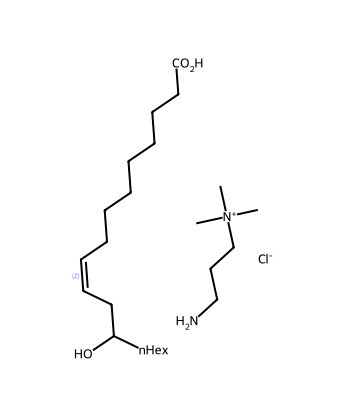 CCCCCCC(O)C/C=C\CCCCCCCC(=O)O.C[N+](C)(C)CCCN.[Cl-]